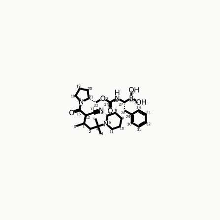 CC(CC(C)(C)N1CCCCC1)C(C#N)C(=O)N1CCC[C@@H]1COC(=O)N[C@@H](Cc1ccccc1)B(O)O